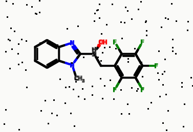 Cn1c([Si@@H](O)Cc2c(F)c(F)c(F)c(F)c2F)nc2ccccc21